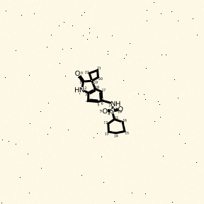 O=C1Nc2ccc(NS(=O)(=O)C3CCCCC3)cc2C12CCC2